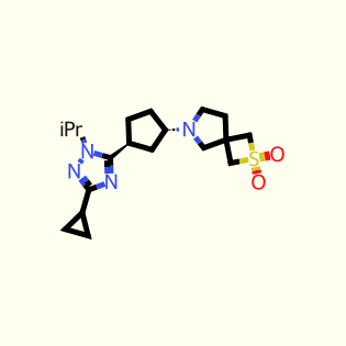 CC(C)n1nc(C2CC2)nc1[C@H]1CC[C@H](N2CCC3(C2)CS(=O)(=O)C3)C1